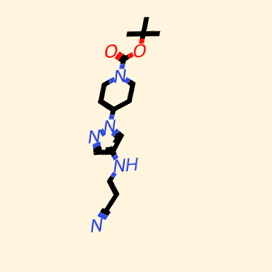 CC(C)(C)OC(=O)N1CCC(n2cc(NCCC#N)cn2)CC1